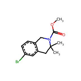 COC(=O)N1Cc2ccc(Br)cc2CC1(C)C